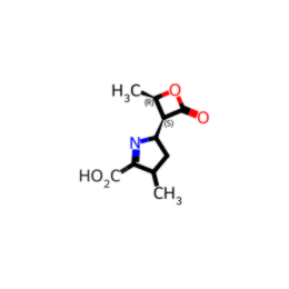 CC1CC([C@@H]2C(=O)O[C@@H]2C)N=C1C(=O)O